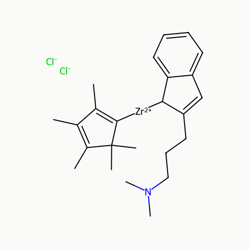 CC1=C(C)C(C)(C)[C]([Zr+2][CH]2C(CCCN(C)C)=Cc3ccccc32)=C1C.[Cl-].[Cl-]